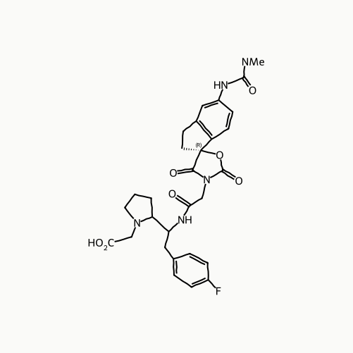 CNC(=O)Nc1ccc2c(c1)CC[C@@]21OC(=O)N(CC(=O)NC(Cc2ccc(F)cc2)C2CCCN2CC(=O)O)C1=O